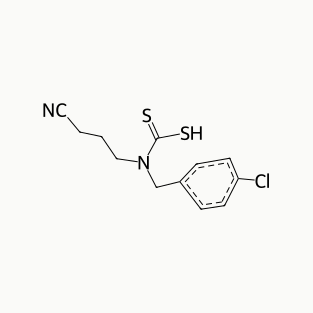 N#CCCCN(Cc1ccc(Cl)cc1)C(=S)S